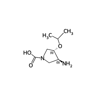 CC(C)O[C@H]1CN(C(=O)O)C[C@@H]1N